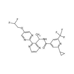 CC(NC(=O)c1cc(C2CC2)nc(C(F)(F)F)c1)c1nccnc1-c1ncc(OCC(F)F)cn1